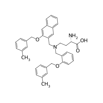 Cc1cccc(COc2ccccc2CN(CC[C@H](N)C(=O)O)Cc2cc3ccccc3cc2OCc2cccc(C)c2)c1